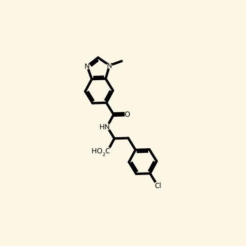 Cn1cnc2ccc(C(=O)NC(Cc3ccc(Cl)cc3)C(=O)O)cc21